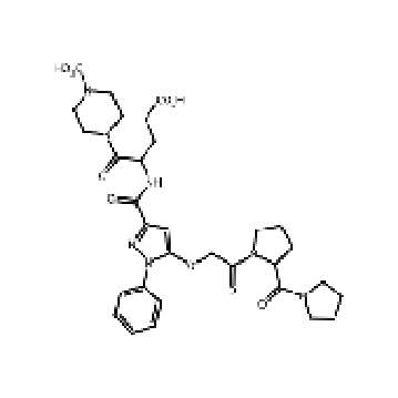 O=C(O)CCC(NC(=O)c1cc(OCC(=O)N2CCCC2C(=O)N2CCCC2)n(-c2ccccc2)n1)C(=O)N1CCN(C(=O)O)CC1